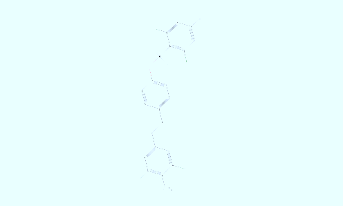 CCc1cc(F)c(C(F)(F)Oc2ccc(CCc3cc(F)c(C#N)c(F)c3)cc2)c(F)c1